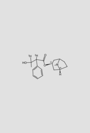 [2H]C(C)(O)C([2H])(C(=O)O[C@H]1CC2CC[C@H](C1)N2C)c1ccccc1